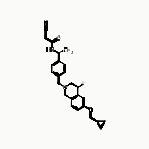 C[C@H](NC(=O)CC#N)c1ccc(CN2Cc3ccc(OCC4CC4)cc3C(F)C2)cc1